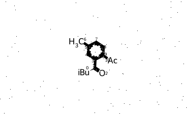 CC[C@@H](C)C(=O)c1cc(C)ccc1C(C)=O